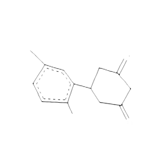 Cc1ccc(F)cc1C1CC(=O)CC(=O)C1